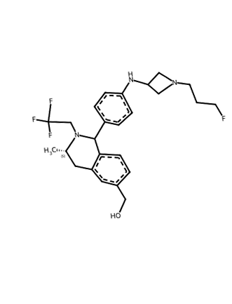 C[C@H]1Cc2cc(CO)ccc2C(c2ccc(NC3CN(CCCF)C3)cc2)N1CC(F)(F)F